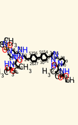 COC(=O)N[C@H](C(=O)N1CCN(S(=O)(=O)N(C)C)C[C@H]1C(=N)N/C=C/c1ccc(-c2ccc(-c3cnc([C@@H]4CCCN4C(=O)[C@@H](NC(=O)OC)C(C)C)[nH]3)cc2)cc1)C(C)C